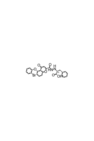 O=C(NN[C@@H](Cc1ccccc1)C(=O)O)c1cc(=O)c2c(Oc3ccccc3Br)cccc2o1